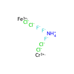 [Cl-].[Cl-].[Cl-].[Cl-].[Cr+3].[F-].[F-].[F-].[Fe+3].[NH4+]